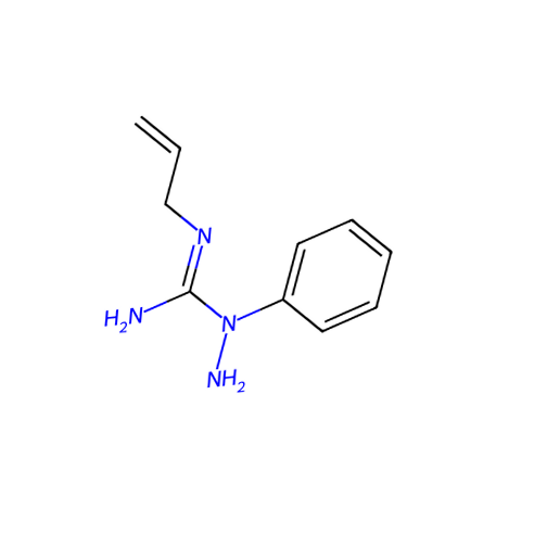 C=CCN=C(N)N(N)c1ccccc1